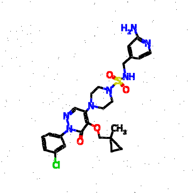 CC1(COc2c(N3CCN(S(=O)(=O)NCc4ccnc(N)c4)CC3)cnn(-c3cccc(Cl)c3)c2=O)CC1